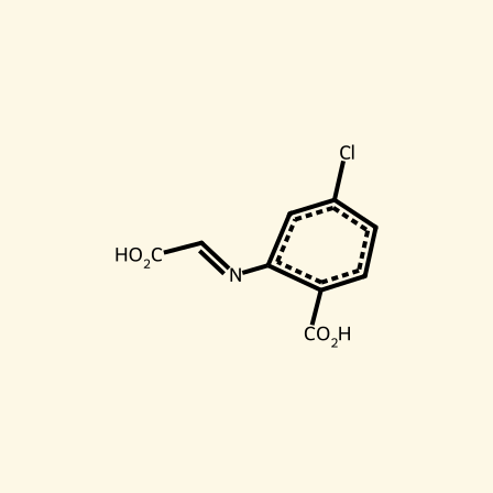 O=C(O)C=Nc1cc(Cl)ccc1C(=O)O